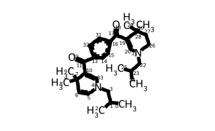 CC(C)CN1C=CC(C)(C)C(C(=O)c2ccc(C(=O)C3=CN(CC(C)C)CCC3(C)C)cc2)=C1